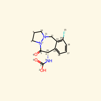 O=C(O)N[C@@H]1C(=O)N2CCCN2Cc2c(F)cccc21